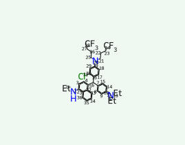 CCNc1ccc(C(c2ccc(N(CC)CC)cc2)c2ccc(N(CCCC(F)(F)F)CCCC(F)(F)F)cc2Cl)c2ccccc12